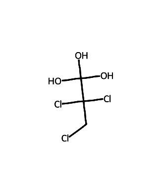 OC(O)(O)C(Cl)(Cl)CCl